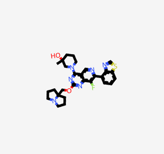 CC1(O)CCCN(c2nc(OCC34CCCN3CCC4)nc3c(F)c(-c4cccc5scnc45)ncc23)C1